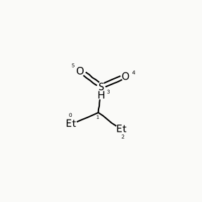 [CH2]CC(CC)[SH](=O)=O